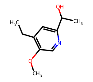 CCc1cc(C(C)O)ncc1OC